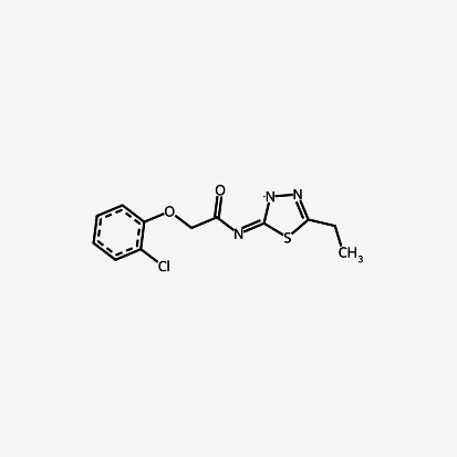 CCC1=N[N]C(=NC(=O)COc2ccccc2Cl)S1